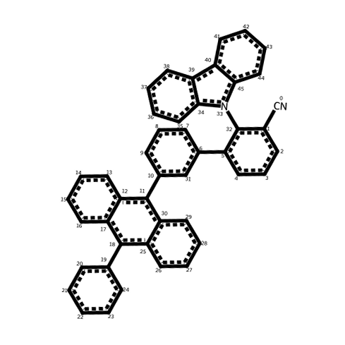 N#Cc1cccc(-c2cccc(-c3c4ccccc4c(-c4ccccc4)c4ccccc34)c2)c1-n1c2ccccc2c2ccccc21